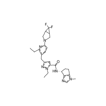 CCc1nc(N2CC3C(C2)C3(F)F)ccc1Cc1cc(C(=O)N[C@@H]2CCc3c2ncn3C)n(CC)n1